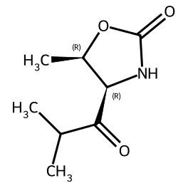 CC(C)C(=O)[C@@H]1NC(=O)O[C@@H]1C